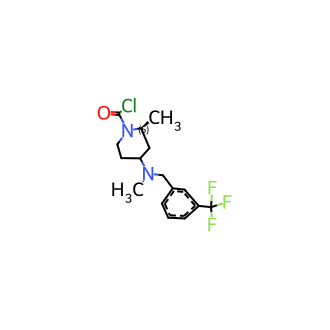 C[C@H]1CC(N(C)Cc2cccc(C(F)(F)F)c2)CCN1C(=O)Cl